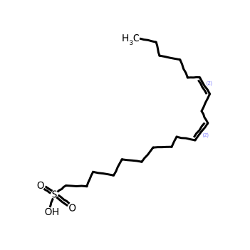 CCCCC/C=C\C/C=C\CCCCCCCCCS(=O)(=O)O